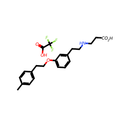 Cc1ccc(CCOc2cccc(CCNCCC(=O)O)c2)cc1.O=C(O)C(F)(F)F